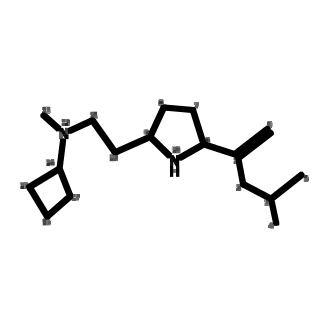 C=C(CC(C)C)C1CCC(CCN(C)C2CCC2)N1